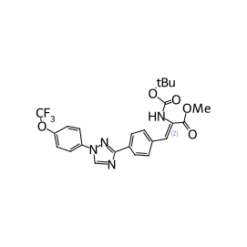 COC(=O)/C(=C/c1ccc(-c2ncn(-c3ccc(OC(F)(F)F)cc3)n2)cc1)NC(=O)OC(C)(C)C